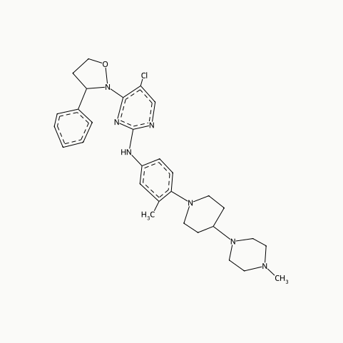 Cc1cc(Nc2ncc(Cl)c(N3OCCC3c3ccccc3)n2)ccc1N1CCC(N2CCN(C)CC2)CC1